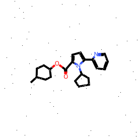 CC1CCC(OC(=O)c2ccc(-c3ccccn3)n2C2CCCC2)CC1